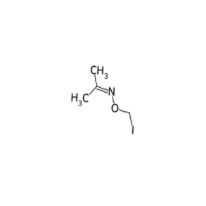 CC(C)=NOCI